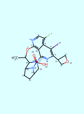 CC1Oc2ncc(F)c3c(I)c(C4COC4)nc(c23)N2CC3CCC(C12)N3C(=O)O